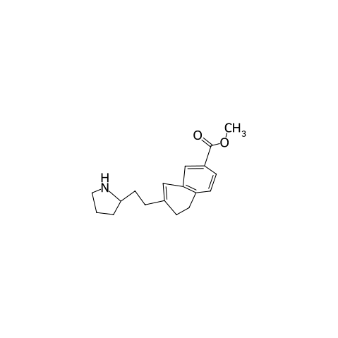 COC(=O)c1ccc2c(c1)C=C(CCC1CCCN1)CC2